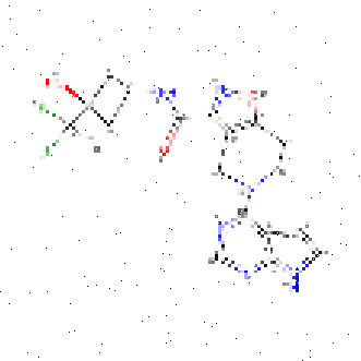 O=C(N[C@H]1C[C@@](O)(C(F)(F)F)C1)c1noc2c1CN(c1ncnc3[nH]ccc13)CC2